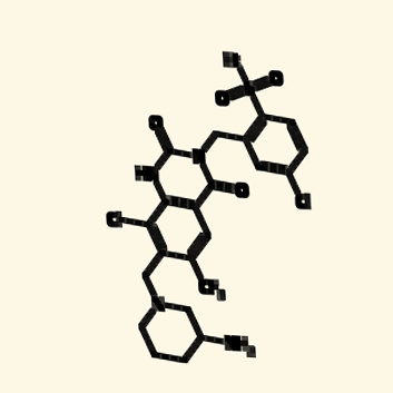 CCS(=O)(=O)c1ccc(Cl)cc1Cn1c(=O)[nH]c2c(Cl)c(CN3CCCC(N)C3)c(C(F)(F)F)cc2c1=O